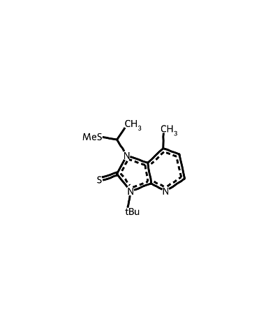 CSC(C)n1c(=S)n(C(C)(C)C)c2nccc(C)c21